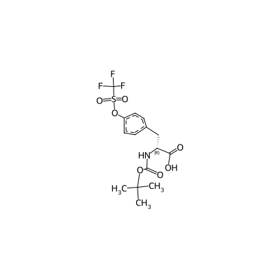 CC(C)(C)OC(=O)N[C@H](Cc1ccc(OS(=O)(=O)C(F)(F)F)cc1)C(=O)O